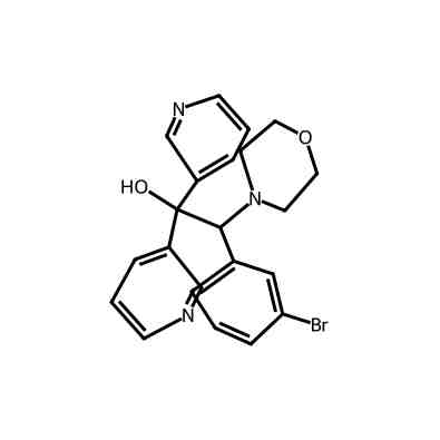 OC(c1cccnc1)(c1cccnc1)C(c1cccc(Br)c1)N1CCOCC1